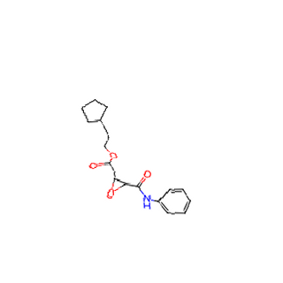 O=C(Nc1ccccc1)C1OC1C(=O)OCCC1CCCC1